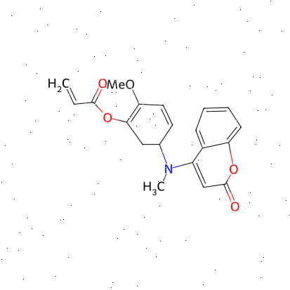 C=CC(=O)OC1=C(OC)C=CC(N(C)c2cc(=O)oc3ccccc23)C1